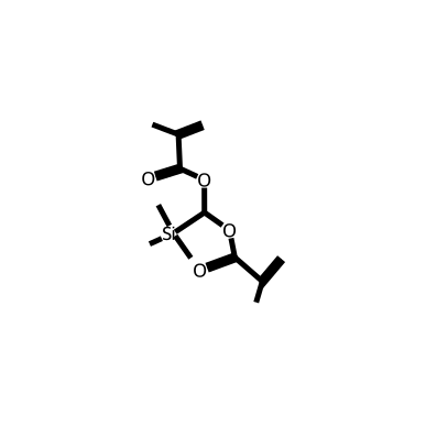 C=C(C)C(=O)OC(OC(=O)C(=C)C)[Si](C)(C)C